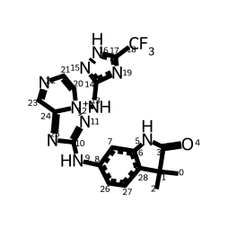 CC1(C)C(=O)Nc2cc(NC3=N[N+]4(Nc5n[nH]c(C(F)(F)F)n5)C=CN=CC4=N3)ccc21